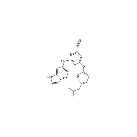 CC(C)Cc1ccc(Oc2cc(C#N)nc(Nc3ccc4cc[nH]c4c3)c2)cc1